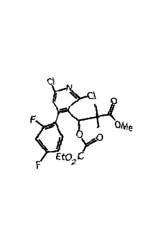 CCOC(=O)C(=O)OC(c1c(-c2ccc(F)cc2F)cc(Cl)nc1Cl)C(C)(C)C(=O)OC